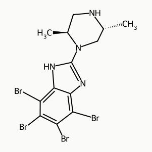 C[C@@H]1CN(c2nc3c(Br)c(Br)c(Br)c(Br)c3[nH]2)[C@@H](C)CN1